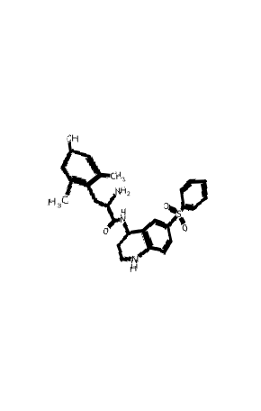 Cc1cc(O)cc(C)c1CC(N)C(=O)NC1CCNc2ccc(S(=O)(=O)c3ccccc3)cc21